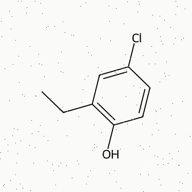 CCc1cc(Cl)ccc1O